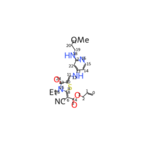 C=CCOC(=O)C(C#N)=c1sc(=CNc2ccnc(NCCOC)c2)c(=O)n1CC